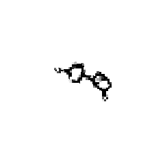 O=C1CC2CC(c3ccc(Cl)nc3)C1N2